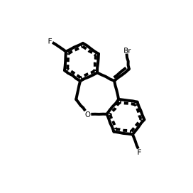 Fc1ccc2c(c1)COc1cc(F)ccc1/C2=C/Br